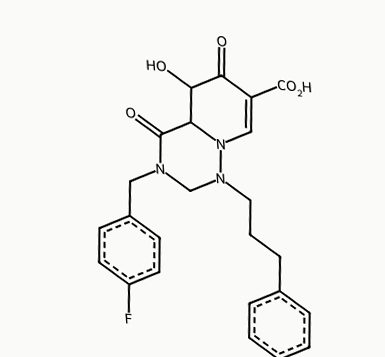 O=C(O)C1=CN2C(C(=O)N(Cc3ccc(F)cc3)CN2CCCc2ccccc2)C(O)C1=O